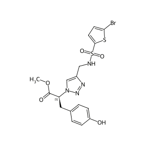 COC(=O)[C@H](Cc1ccc(O)cc1)n1cc(CNS(=O)(=O)c2ccc(Br)s2)nn1